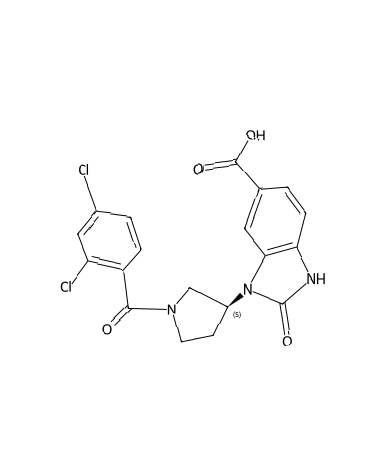 O=C(O)c1ccc2[nH]c(=O)n([C@H]3CCN(C(=O)c4ccc(Cl)cc4Cl)C3)c2c1